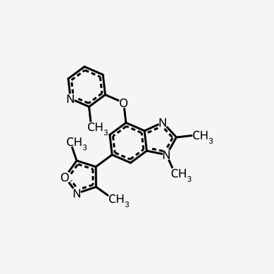 Cc1ncccc1Oc1cc(-c2c(C)noc2C)cc2c1nc(C)n2C